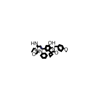 COc1ccc(CN2C(=O)C3(CCC3)c3cc(/C(=C/C(=N)N4CCOCC4)Nc4ccccc4)cc(O)c32)cc1